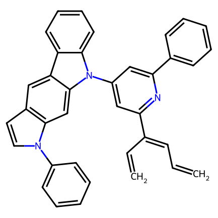 C=C/C=C(\C=C)c1cc(-n2c3ccccc3c3cc4ccn(-c5ccccc5)c4cc32)cc(-c2ccccc2)n1